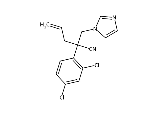 C=CCC(C#N)(Cn1ccnc1)c1ccc(Cl)cc1Cl